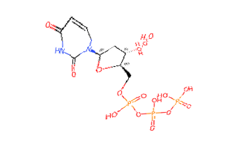 O.O.O=c1ccn([C@H]2C[C@H](O)[C@@H](COP(=O)(O)OP(=O)(O)OP(=O)(O)O)O2)c(=O)[nH]1